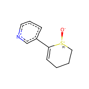 [O-][S@@+]1CCCC=C1c1cccnc1